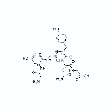 NCC(=O)N[C@@H](CC(=O)O)C(=O)NCC(=O)N[C@@H](Cc1ccc(O)cc1)C(=O)N[C@@H](CC(N)=O)C(=O)NCC(=O)O